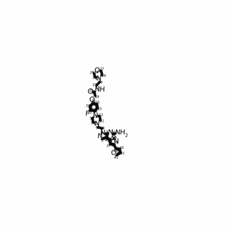 Nc1nc2c(cnn2CCN2CCN(c3ccc(OCC(=O)NCCN4CCOCC4)cc3F)CC2)c2cc(-c3ccco3)nn12